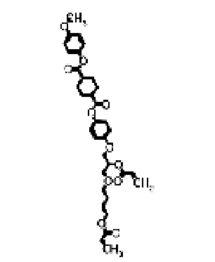 C=CC(=O)OCCCCOCC(COc1ccc(OC(=O)C2CCC(C(=O)Oc3ccc(OC)cc3)CC2)cc1)OC(=O)C=C